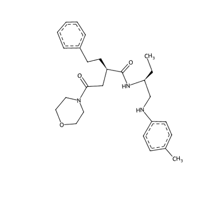 CC[C@@H](CNc1ccc(C)cc1)NC(=O)[C@H](CCc1ccccc1)CC(=O)N1CCOCC1